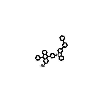 CC(C)(C)c1ccc2c(-c3ccc(-n4c5ccccc5c5cc(-c6cccc(-c7ccccc7)c6)ccc54)cc3)c3ccccc3c(-c3ccccc3)c2c1